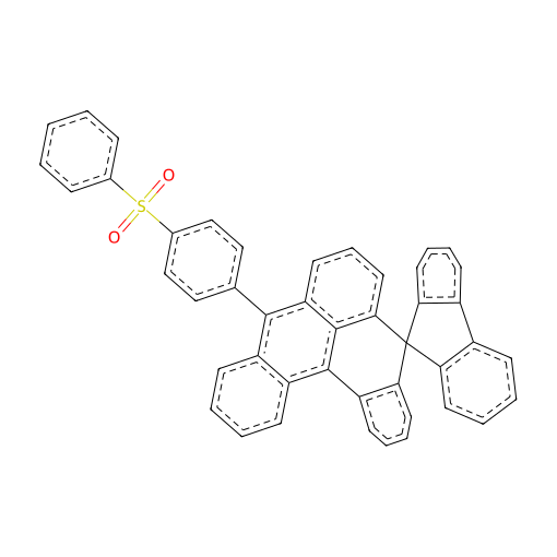 O=S(=O)(c1ccccc1)c1ccc(-c2c3ccccc3c3c4c(cccc24)C2(c4ccccc4-c4ccccc42)c2ccccc2-3)cc1